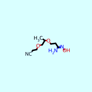 CC(COCCC#N)OCC/C(N)=N/O